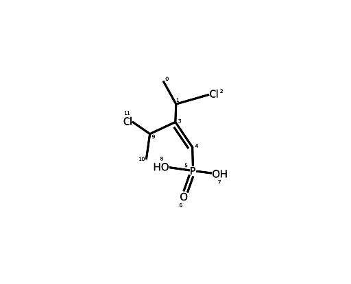 CC(Cl)C(=CP(=O)(O)O)C(C)Cl